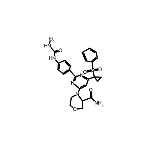 CCNC(=O)Nc1ccc(-c2nc(N3CCOCC3C(N)=O)cc(C3(S(=O)(=O)c4ccccc4)CC3)n2)cc1